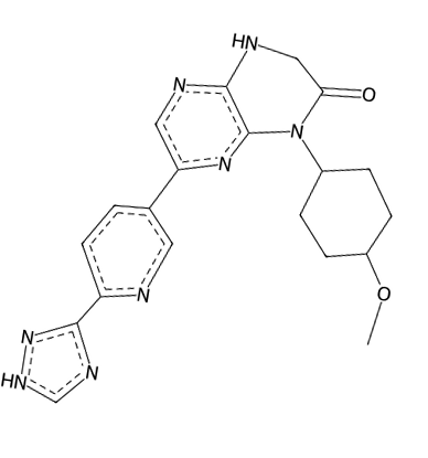 COC1CCC(N2C(=O)CNc3ncc(-c4ccc(-c5nc[nH]n5)nc4)nc32)CC1